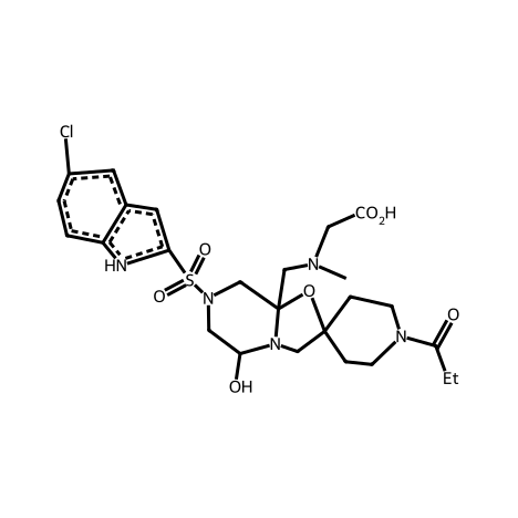 CCC(=O)N1CCC2(CC1)CN1C(O)CN(S(=O)(=O)c3cc4cc(Cl)ccc4[nH]3)CC1(CN(C)CC(=O)O)O2